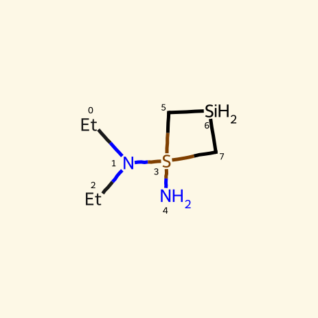 CCN(CC)S1(N)C[SiH2]C1